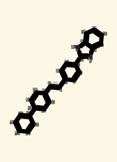 C(=C\c1ccc(-c2nc3ccccc3s2)cc1)/c1ccc(-c2ccccc2)cc1